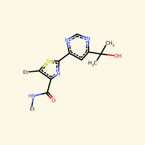 CCNC(=O)c1nc(-c2cc(C(C)(C)O)ncn2)sc1CC